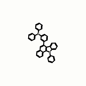 c1ccc(N(c2ccccc2)c2cccc(-c3cc4ccccc4c4c3c3ccccc3n4-c3ccccc3)c2)cc1